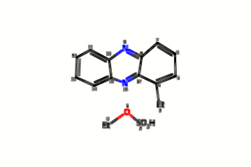 CCOS(=O)(=O)O.CCc1cccc2nc3ccccc3nc12